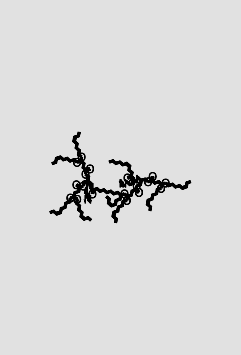 CC/C=C\CCCCOC(CCC(=O)OCC(COC(=O)CCC(OCCCC/C=C\CC)OC(CCC/C=C\CC)CCCCCCCC(=O)N(CCCN(C)C)CC(COC(=O)CCC(OCCCC/C=C\CC)OCCCC/C=C\CC)COC(=O)CCC(OCCCC/C=C\CC)OCCCC/C=C\CC)CN(CCCN(C)C)C(=O)CC/C=C\CCCCC)OCCCC/C=C\CC